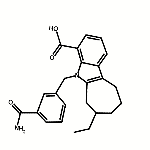 CCC1CCCc2c(n(Cc3cccc(C(N)=O)c3)c3c(C(=O)O)cccc23)C1